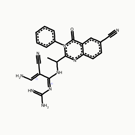 CC(NC(=N/C(=N)N)/C(C#N)=C/N)c1nc2ccc(C#N)cc2c(=O)n1-c1ccccc1